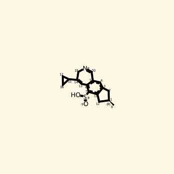 C[C@@H]1Cc2cc3c(c(S(=O)O)c2C1)C=C(C1CC1)CN=C3